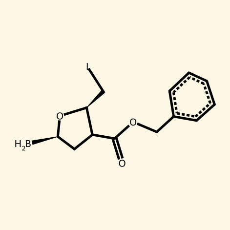 B[C@@H]1CC(C(=O)OCc2ccccc2)[C@H](CI)O1